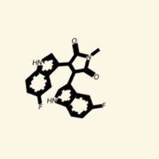 CN1C(=O)C(c2c[nH]c3ccc(F)cc23)C(c2c[nH]c3ccc(F)cc23)C1=O